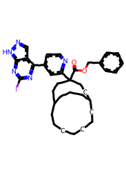 O=C(OCc1ccccc1)C1(c2cc(-c3nc(I)nc4[nH]ncc34)ccn2)CCC2CCCCCCCC(CCC2)CC1